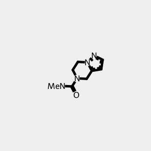 CNC(=O)N1CCn2nccc2C1